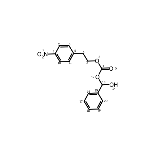 O=C(OCCc1ccc([N+](=O)[O-])cc1)OC(O)c1ccccc1